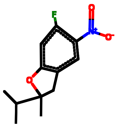 CC(C)C1(C)Cc2cc([N+](=O)[O-])c(F)cc2O1